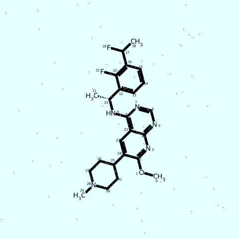 COc1nc2ncnc(N[C@H](C)c3cccc(C(C)F)c3F)c2cc1C1CCN(C)CC1